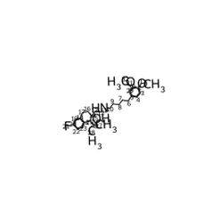 COc1ccc(CCCCCNCCC2(O)CCc3cc(F)ccc3C2C(C)C)cc1OC